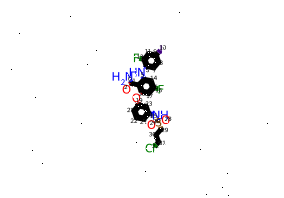 NC(=O)c1c(Nc2ccc(I)cc2F)cc(F)cc1Oc1cccc(NS(=O)(=O)CCCCl)c1